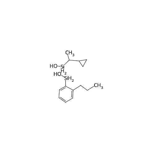 CC([SiH2]O)C1CC1.CCCc1ccccc1[SiH2]O